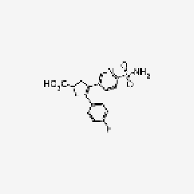 NS(=O)(=O)c1ccc(C2=C(c3ccc(F)cc3)CC(C(=O)O)C2)cn1